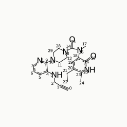 C#CCNc1cccnc1N1CCN(C(=O)N(C)c2cc(CC)c(C)[nH]c2=O)CC1